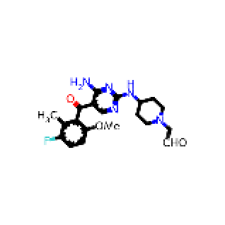 COc1ccc(F)c(C)c1C(=O)c1cnc(NC2CCN(CC=O)CC2)nc1N